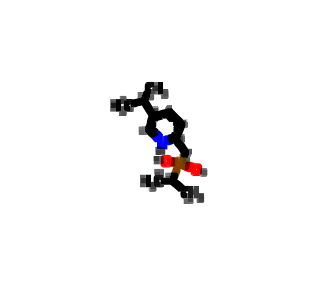 CC(C)c1ccc(CS(=O)(=O)C(C)C)nc1